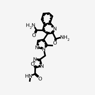 CNC(=O)c1nc(Cn2ncc(-c3c(C(N)=O)nc4ccccc4c3C(N)=O)c2C)no1